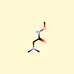 CONC(=O)CN(C)C